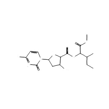 CCC(C)C(NC(=O)C1OC(n2ccc(N)nc2=O)CC1O)C(=O)OC